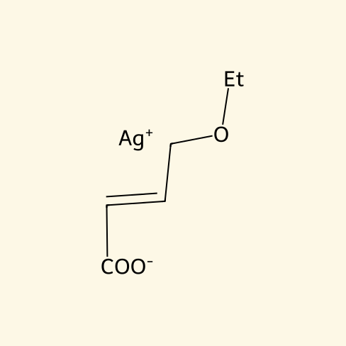 CCOCC=CC(=O)[O-].[Ag+]